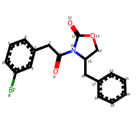 O=C(Cc1cccc(Br)c1)N1C(=O)OCC1Cc1ccccc1